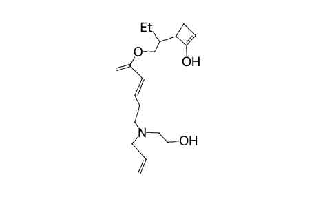 C=CCN(CCO)CC/C=C/C(=C)OCC(CC)C1CC=C1O